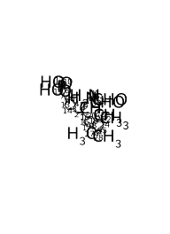 CC(=Cc1ccc(COP(=O)(O)O)cc1)c1ccc2c(c1)C(C)(C)CCC2(C)C.NC=O.NC=O